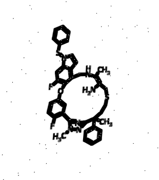 C/C1=C(/N)CSCCC(C)(c2ccccc2)c2nc(n(C)n2)-c2cc(ccc2F)Oc2c(F)cc3c(ccn3Sc3ccccc3)c2CN1